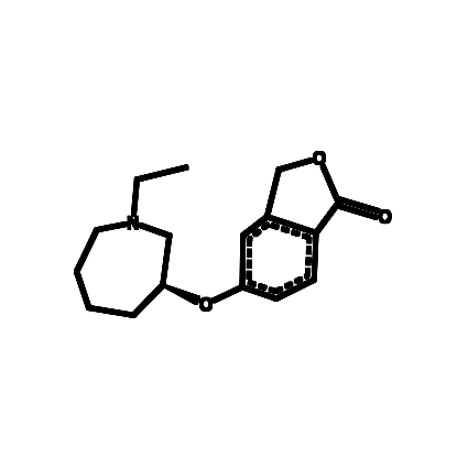 CCN1CCCC[C@H](Oc2ccc3c(c2)COC3=O)C1